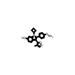 Cc1cnoc1-c1c(-c2ccc(ON)cc2)n(C2CCC2)c2cc(O)ccc12